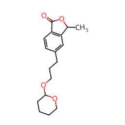 CC1OC(=O)c2ccc(CCCOC3CCCCO3)cc21